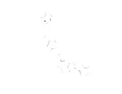 c1ccc(-c2nc3cc(COc4ccc(CCCn5ccnc5)cc4)ccc3o2)cc1